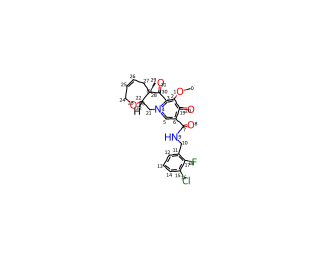 COc1c2n(cc(C(=O)NCc3cccc(Cl)c3F)c1=O)C[C@@H]1OCC=CC[C@]1(C)C2=O